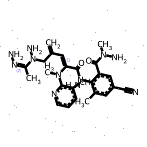 C=C(/C=C(/C(=O)N(N)c1c(C)cc(C#N)cc1C(=O)N(C)N)N(C)c1ncccc1C)CN(N)/C(C)=N\N